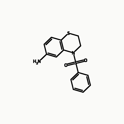 Nc1ccc2c(c1)N(S(=O)(=O)c1ccccc1)CCS2